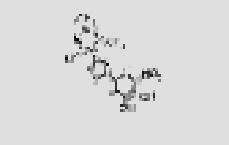 Cc1cc(C)c(-c2nc(-c3cc(O)c(O)c([N+](=O)[O-])c3)cs2)c(Cl)n1